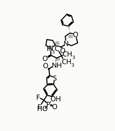 CC(C)(C)[C@H](NC(=O)c1cc2cc(C(F)(F)P(=O)(O)O)ccc2s1)C(=O)N1CCC[C@H]1C(=O)N1CCO[C@@H](c2ccccc2)C1